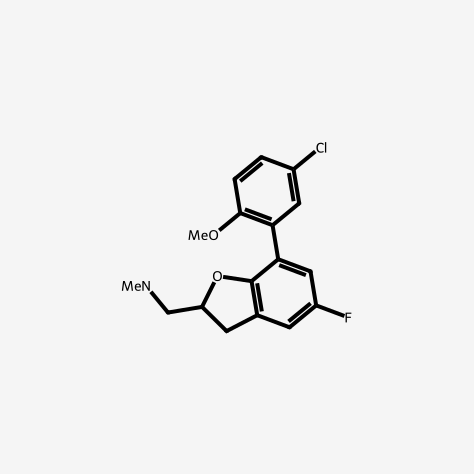 CNCC1Cc2cc(F)cc(-c3cc(Cl)ccc3OC)c2O1